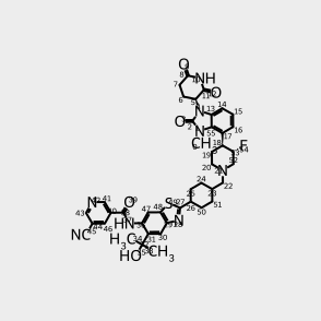 Cn1c(=O)n([C@H]2CCC(=O)NC2=O)c2cccc([C@@H]3CCN(CC4CCC(c5nc6cc(C(C)(C)O)c(NC(=O)c7cncc(C#N)c7)cc6s5)CC4)C[C@H]3F)c21